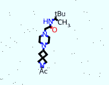 CC(=O)N1CC2(CC(N3CCN(CC(=O)NC(C)C(C)(C)C)CC3)C2)C1